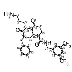 NCCC[C@H]1C(=O)N(Cc2ccccc2)CC2N(C(=O)NCc3cc(C(F)(F)F)cc(C(F)(F)F)c3)CCC(=O)N21